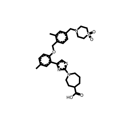 Cc1ccc(OCc2ccc(CN3CCS(=O)(=O)CC3)cc2C)c(-c2csc(N3CCCC(C(=O)O)CC3)n2)c1